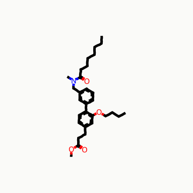 CCCCCCCC(=O)N(C)Cc1cccc(-c2ccc(CCC(=O)OC)cc2OCCCC)c1